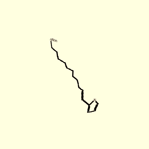 CCCCCCCCCCCCCCCCCC/C=C/C1=CC=C[N]1